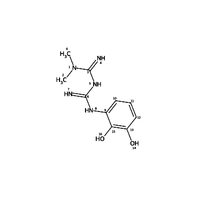 CN(C)C(=N)NC(=N)Nc1cccc(O)c1O